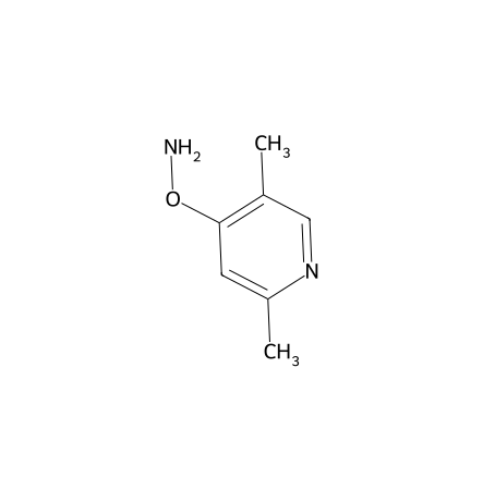 Cc1cc(ON)c(C)cn1